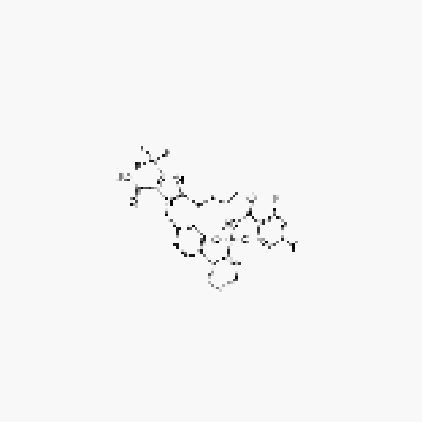 CCCCc1nc(C(F)(F)F)c(C(=O)O)n1Cc1ccc(-c2ccccc2S(=O)(=O)NC(=O)c2ccc(F)cc2F)cc1